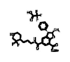 CNC(=O)c1cc(C(=O)NCCCC2CCNCC2(F)F)cc2c1O[C@H](C)[C@H]2c1ccccc1.O=C(O)C(F)(F)F